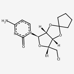 CC[C@@]1(CCl)O[C@@H](n2ccc(N)nc2=O)[C@@H]2OC3(CCCC3)O[C@@H]21